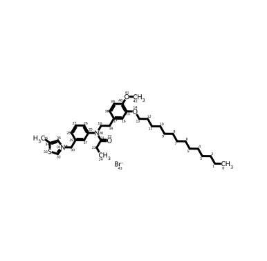 CCCCCCCCCCCCCCOc1cc(CCN(C(=O)CC)c2cccc(C[n+]3csc(C)c3)c2)ccc1OC.[Br-]